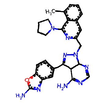 Cc1cccc2cc(CN3N=C(c4ccc5oc(N)nc5c4)C4C(N)=NC=NC43)nc(N3CCCC3)c12